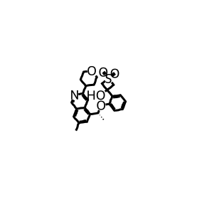 Cc1cc([C@@H](C)Oc2ccccc2C2(O)CS(=O)(=O)C2)c2cc(C3CCOCC3)ncc2c1